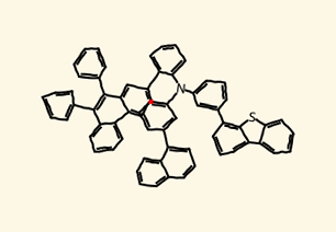 c1ccc(-c2c(-c3ccccc3)c3cc(-c4ccccc4N(c4cccc(-c5cccc6ccccc56)c4)c4cccc(-c5cccc6c5sc5ccccc56)c4)ccc3c3ccccc23)cc1